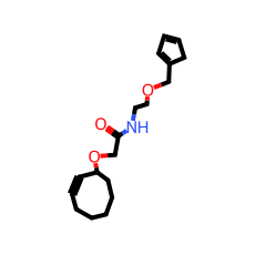 O=C(COC1C#CCCCCC1)NCCOCC1=CC=CC1